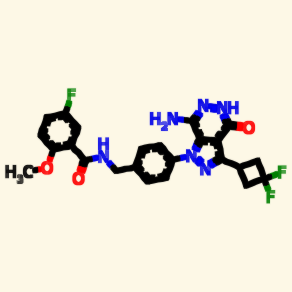 COc1ccc(F)cc1C(=O)NCc1ccc(-n2nc(C3CC(F)(F)C3)c3c(=O)[nH]nc(N)c32)cc1